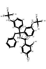 O=C(NC(Cc1ccccc1)(c1cccc(OC(F)(F)F)c1)c1cccc(OC(F)(F)F)c1)c1ccc(Cl)cc1F